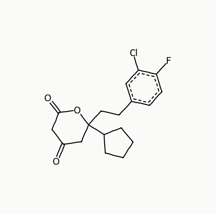 O=C1CC(=O)OC(CCc2ccc(F)c(Cl)c2)(C2CCCC2)C1